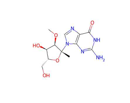 CO[C@@H]1[C@H](O)[C@@H](CO)O[C@@]1(C)n1cnc2c(=O)[nH]c(N)nc21